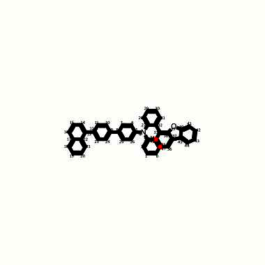 c1ccc(N(c2ccc(-c3ccc(-c4cccc5ccccc45)cc3)cc2)c2ccccc2-c2cccc3c2oc2ccccc23)cc1